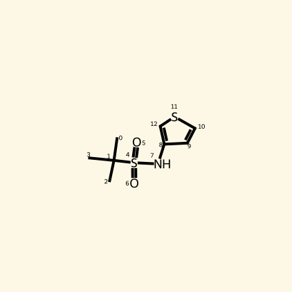 CC(C)(C)S(=O)(=O)Nc1ccsc1